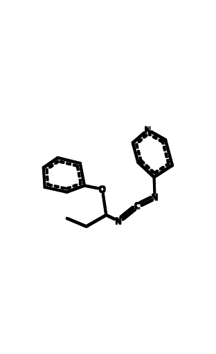 CCC(N=C=Nc1ccncc1)Oc1ccccc1